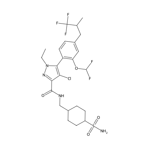 CCn1nc(C(=O)NCC2CCC(S(N)(=O)=O)CC2)c(Cl)c1-c1ccc(CC(C)C(F)(F)F)cc1OC(F)F